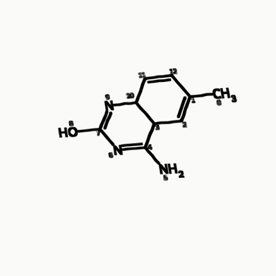 CC1=CC2C(N)=NC(O)=NC2C=C1